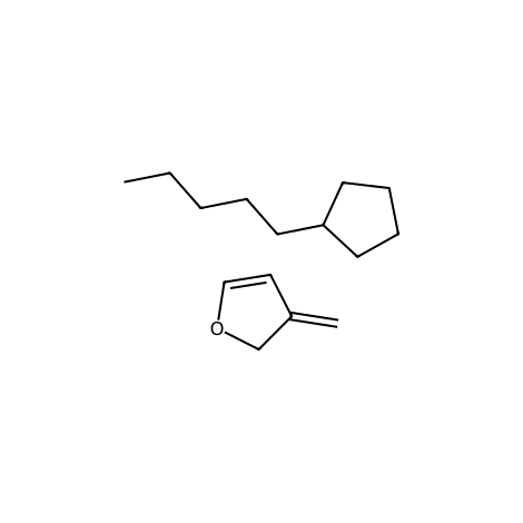 C=C1C=COC1.CCCCCC1CCCC1